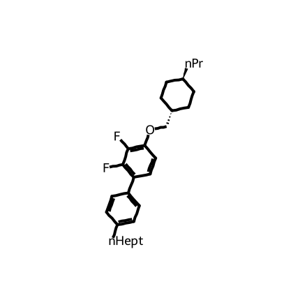 CCCCCCCc1ccc(-c2ccc(OC[C@H]3CC[C@H](CCC)CC3)c(F)c2F)cc1